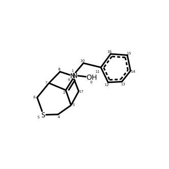 ON=C1C2CSCC1CN(Cc1ccccc1)C2